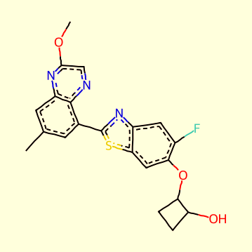 COc1cnc2c(-c3nc4cc(F)c(OC5CCC5O)cc4s3)cc(C)cc2n1